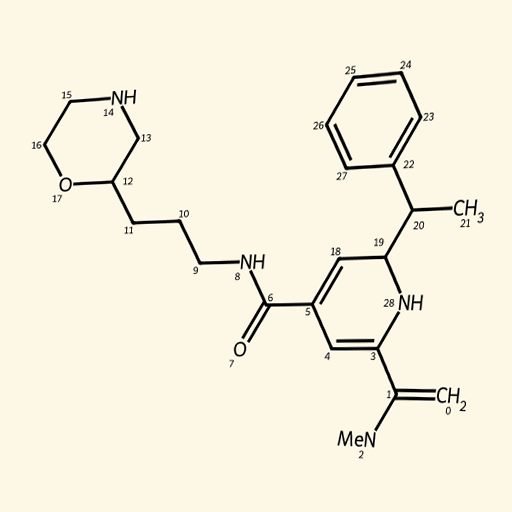 C=C(NC)C1=CC(C(=O)NCCCC2CNCCO2)=CC(C(C)c2ccccc2)N1